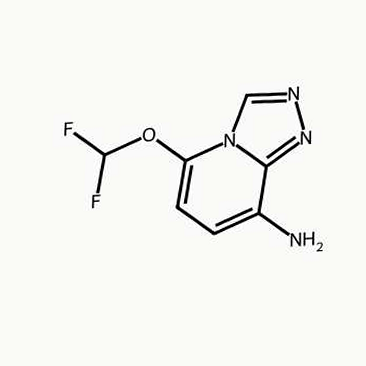 Nc1ccc(OC(F)F)n2cnnc12